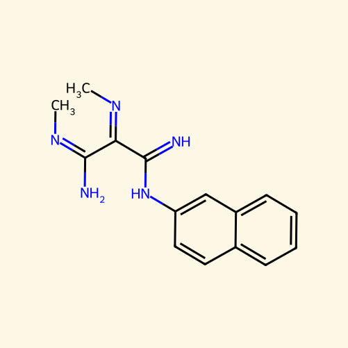 C/N=C(C(=N)Nc1ccc2ccccc2c1)\C(N)=N/C